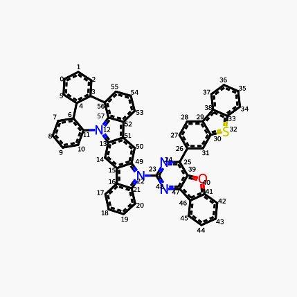 c1ccc2c(c1)-c1ccccc1-n1c3cc4c5ccccc5n(-c5nc(-c6ccc7c(c6)sc6ccccc67)c6oc7ccccc7c6n5)c4cc3c3cccc-2c31